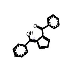 O=C(C1=CC=C/C1=C(/O)c1ccccc1)c1ccccc1